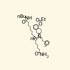 CCCCNC(=O)CCCCCCCCCCCCCC(N)=O.CCCN(CCc1cccs1)[C@@H]1CCc2c(cccc2OC(=O)CC)C1